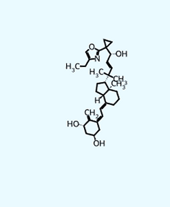 C=C1/C(=C\C=C2/CCC[C@]3(C)[C@@H](C(C)(C)/C=C/[C@@H](O)C4(c5nc(CC)co5)CC4)CC[C@@H]23)C[C@@H](O)C[C@@H]1O